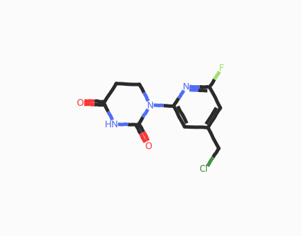 O=C1CCN(c2cc(CCl)cc(F)n2)C(=O)N1